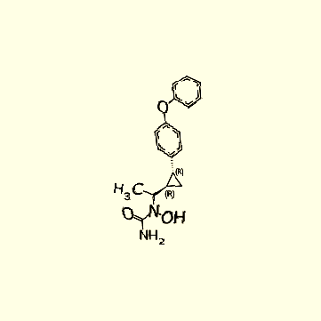 CC([C@@H]1C[C@H]1c1ccc(Oc2ccccc2)cc1)N(O)C(N)=O